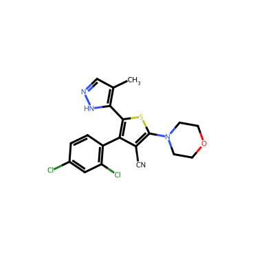 Cc1cn[nH]c1-c1sc(N2CCOCC2)c(C#N)c1-c1ccc(Cl)cc1Cl